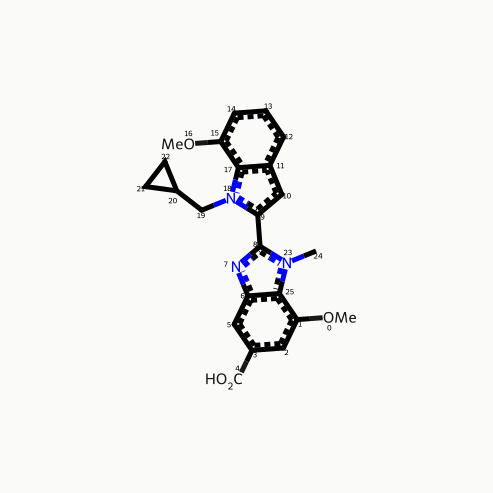 COc1cc(C(=O)O)cc2nc(-c3cc4cccc(OC)c4n3CC3CC3)n(C)c12